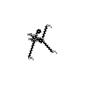 CCCCCCCCCCCCCC(=O)O[C@H]1[C@H](O)[C@@H](CO)O[C@@H](OCc2ccccc2)[C@@H]1NC(=O)c1ccc(OCCCCCCCCCC)c(OCCCCCCCCCC)c1